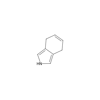 C1=CCc2c[nH]cc2C1